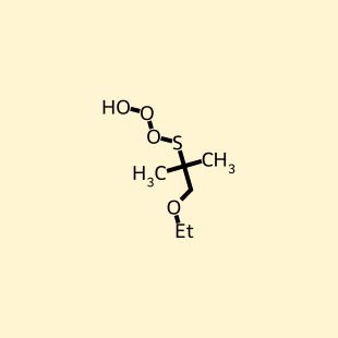 CCOCC(C)(C)SOOO